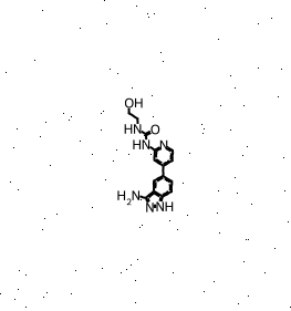 Nc1n[nH]c2ccc(-c3ccnc(NC(=O)NCCO)c3)cc12